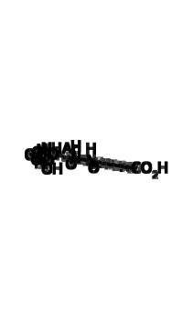 CC(=O)N[C@H]1[C@H](OCCCCC(=O)NCCCNC(=O)CCCCCCCCCCC(=O)O)O[C@H](CO)[C@@H]2OC(=O)O[C@H]12